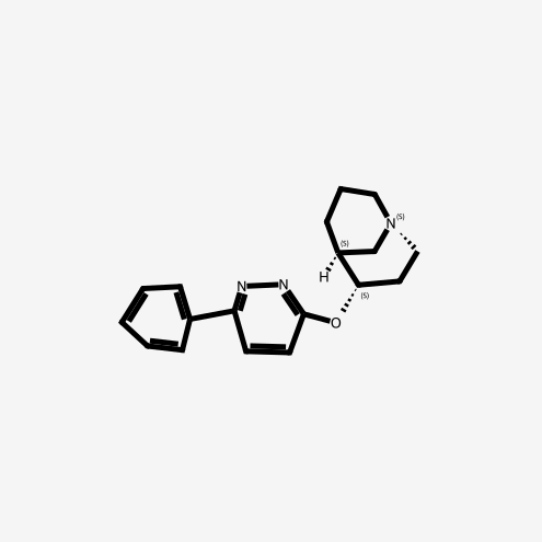 c1ccc(-c2ccc(O[C@H]3CC[N@@]4CCC[C@H]3C4)nn2)cc1